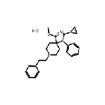 COC(=O)C1(N(C(=O)C2CC2)c2ccccc2)CCN(CCc2ccccc2)CC1.Cl